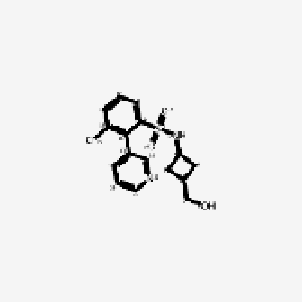 O=S(=O)(NC1CC(CO)C1)c1cccc(Cl)c1-c1cccnc1